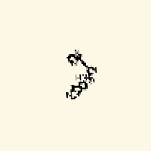 CN1CCN(Cc2ccc(NC(=O)c3cncc(C#Cc4cnc5cccnn45)c3)cc2C2CC2)CC1